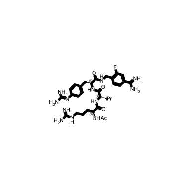 CC(=O)N[C@@H](CCCNC(=N)N)C(=O)N[C@H](C(=O)N[C@@H](Cc1ccc(N=C(N)N)cc1)C(=O)NCc1ccc(C(=N)N)cc1F)C(C)C